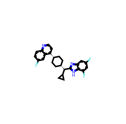 Fc1cc(F)c2[nH]c(C(C3CC3)[C@H]3CC[C@@H](c4ccnc5ccc(F)cc54)CC3)nc2c1